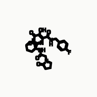 O=C(CN1CCCC1=O)NC12CCC(CC1)Cn1c2nc(C(=O)NCc2ccc(F)cc2)c(O)c1=O